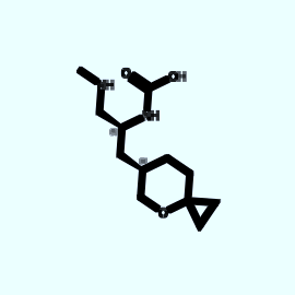 CNC[C@H](C[C@H]1CCC2(CC2)OC1)NC(=O)O